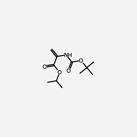 C=C(NC(=O)OC(C)(C)C)C(=O)OC(C)C